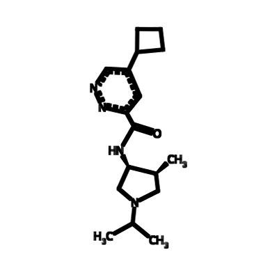 CC(C)N1C[C@H](C)[C@H](NC(=O)c2cc(C3CCC3)cnn2)C1